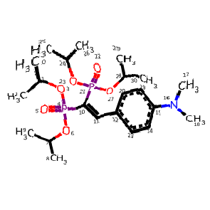 CC(C)OP(=O)(OC(C)C)C(=Cc1ccc(N(C)C)cc1)P(=O)(OC(C)C)OC(C)C